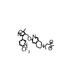 Cc1onc(-c2ccc(C(F)(F)F)nc2)c1COc1cc2c(cn1)CN(C(C)CS(C)(=O)=O)CC2